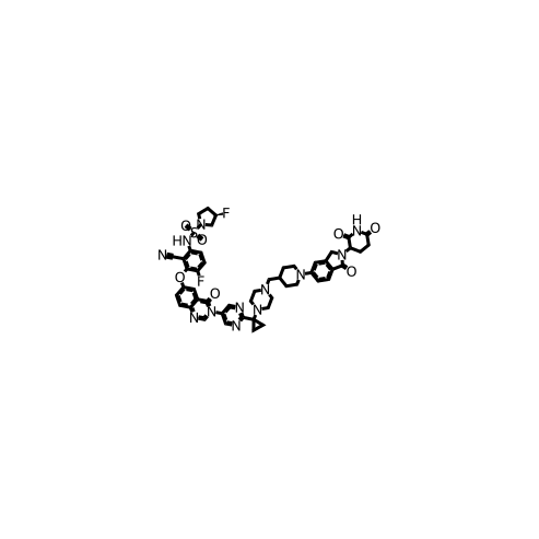 N#Cc1c(NS(=O)(=O)N2CC[C@@H](F)C2)ccc(F)c1Oc1ccc2ncn(-c3cnc(C4(N5CCN(CC6CCN(c7ccc8c(c7)CN(C7CCC(=O)NC7=O)C8=O)CC6)CC5)CC4)nc3)c(=O)c2c1